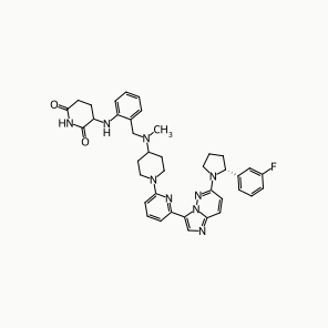 CN(Cc1ccccc1NC1CCC(=O)NC1=O)C1CCN(c2cccc(-c3cnc4ccc(N5CCC[C@@H]5c5cccc(F)c5)nn34)n2)CC1